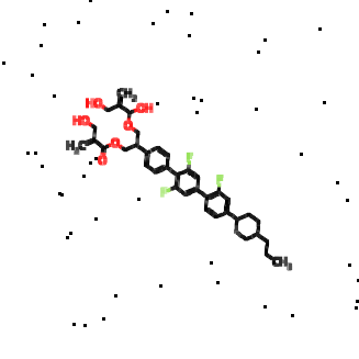 C=C(CO)C(=O)OCC(COC(O)C(=C)CO)c1ccc(-c2c(F)cc(-c3ccc(C4CCC(CCC)CC4)cc3F)cc2F)cc1